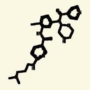 Cc1ccc(N(C(=O)c2ccncc2)C2CNCCO2)cc1NC(=O)c1ccc(NCCCN(C)C)nc1